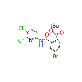 CC(C)(C)OC(=O)c1ccc(Br)cc1C(=O)Nc1ccc(Cl)c(Cl)n1